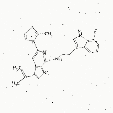 C=C(C)c1cnc2c(NCCc3c[nH]c4c(F)cccc34)nc(-n3ccnc3C)cn12